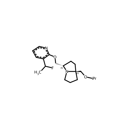 CC(C)OC[C@@]12CCCN1[C@H](COc1ncccc1C(C)F)CC2